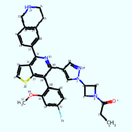 CCC(=O)N1CC(n2cc(-c3nc(-c4ccc5c(c4)CCNC5)c4ccsc4c3-c3ccc(F)cc3OC)cn2)C1